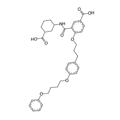 O=C(O)c1ccc(OCCCc2ccc(OCCCCOc3ccccc3)cc2)c(C(=O)NC2CCCC(C(=O)O)C2)c1